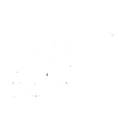 CC(O[Si](C)(C)C(C)(C)C)[C@@H]1C(=O)N2C(C(=O)OCc3ccc([N+](=O)[O-])cc3)=C(OP(=O)(c3ccccc3)c3ccccc3)[C@H](C)[C@H]12